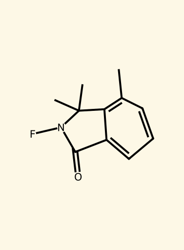 Cc1cccc2c1C(C)(C)N(F)C2=O